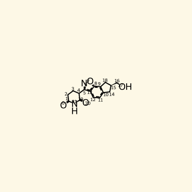 O=C1CCC(c2noc3c4c(ccc23)C[C@H](CO)C4)C(=O)N1